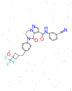 COC1(C(F)(F)F)CC(Cc2ccc(N3CCn4ncc(C(=O)Nc5cccc(C#N)c5)c4C3=O)cc2)C1